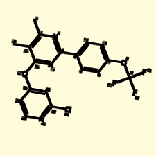 Cc1nc(-c2ccc(OC(F)(F)F)cc2)nc(Oc2ccnc(Cl)c2)c1C